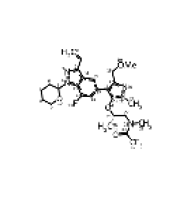 C=Cc1nn(C2CCCCO2)c2c(F)cc(-c3c(COC)nn(C)c3O[C@@H](C)CN(C)C(=O)C(F)(F)F)cc12